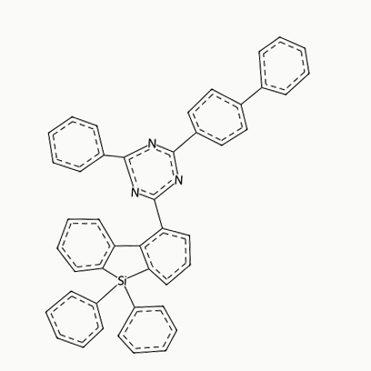 c1ccc(-c2ccc(-c3nc(-c4ccccc4)nc(-c4cccc5c4-c4ccccc4[Si]5(c4ccccc4)c4ccccc4)n3)cc2)cc1